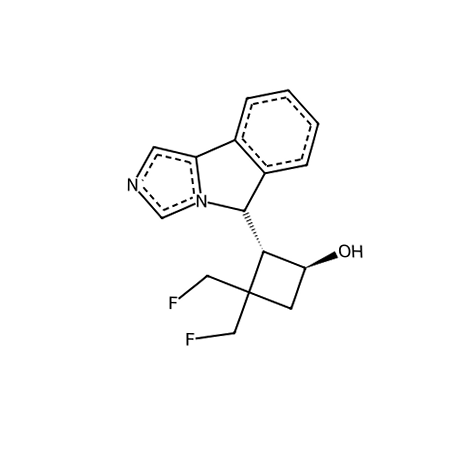 O[C@H]1CC(CF)(CF)[C@@H]1C1c2ccccc2-c2cncn21